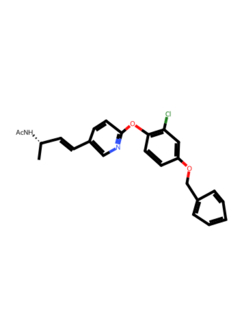 CC(=O)N[C@@H](C)/C=C/c1ccc(Oc2ccc(OCc3ccccc3)cc2Cl)nc1